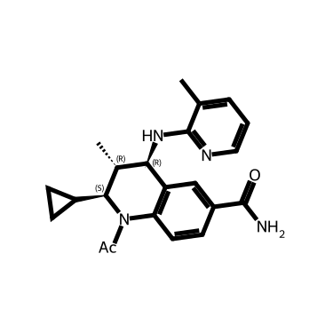 CC(=O)N1c2ccc(C(N)=O)cc2[C@H](Nc2ncccc2C)[C@@H](C)[C@@H]1C1CC1